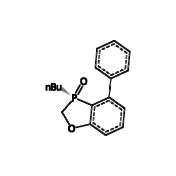 CCCC[P@@]1(=O)COc2cccc(-c3ccccc3)c21